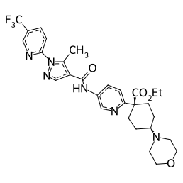 CCOC(=O)[C@]1(c2ccc(NC(=O)c3cnn(-c4ccc(C(F)(F)F)cn4)c3C)cn2)CC[C@H](N2CCOCC2)CC1